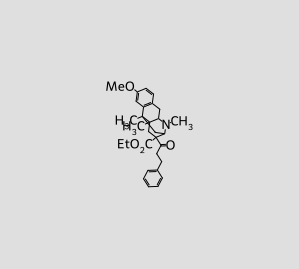 CCOC(=O)C1(C(=O)CCc2ccccc2)CC2(C)C3Cc4ccc(OC)cc4C2(C)CC1N3C